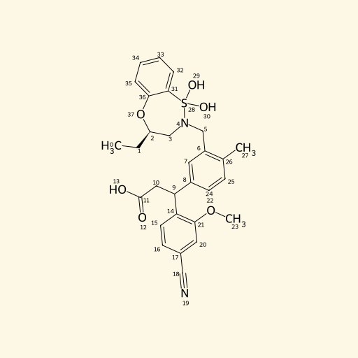 CC[C@@H]1CN(Cc2cc(C(CC(=O)O)c3ccc(C#N)cc3OC)ccc2C)S(O)(O)c2ccccc2O1